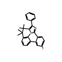 CC1(C)c2cccc3c4cc(F)ccc4c4nc(-c5ccccc5)c(n4c23)C1(C)C